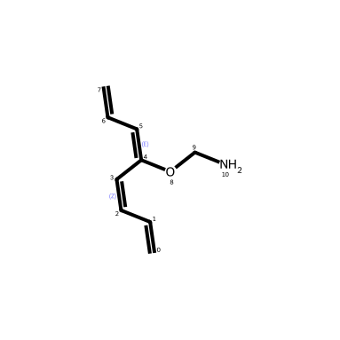 C=C/C=C\C(=C/C=C)OCN